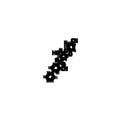 N#Cc1ccc(O[C@H]2CN(S(=O)(=O)c3ccc(-c4ccccc4)cc3C#N)CC2(O)CO)cc1F